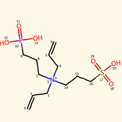 C=CC[N+](CC=C)(CCCP(=O)(O)O)CCCS(=O)(=O)O